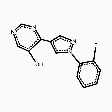 Oc1cncnc1-c1cnn(-c2ccccc2F)c1